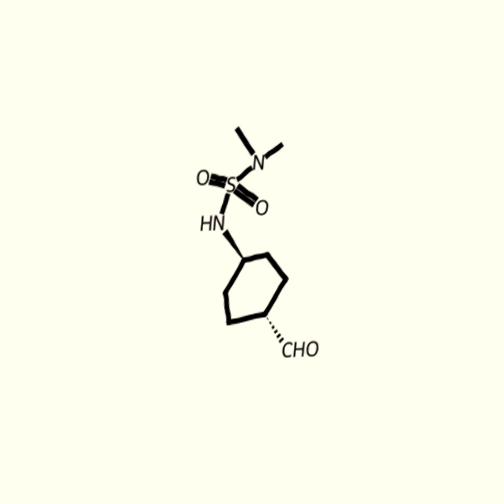 CN(C)S(=O)(=O)N[C@H]1CC[C@H](C=O)CC1